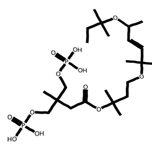 CCC(C)(C)OC(C)C=CC(C)(C)OCCC(C)(C)OC(=O)CC(C)(COP(=O)(O)O)COP(=O)(O)O